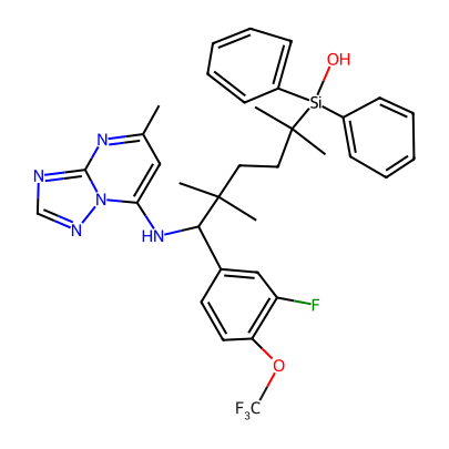 Cc1cc(NC(c2ccc(OC(F)(F)F)c(F)c2)C(C)(C)CCC(C)(C)[Si](O)(c2ccccc2)c2ccccc2)n2ncnc2n1